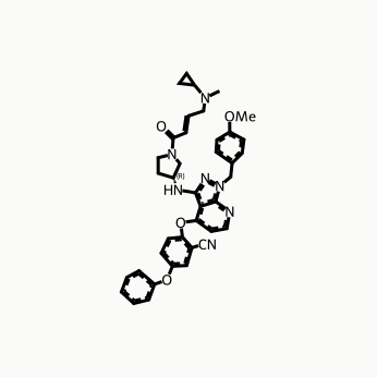 COc1ccc(Cn2nc(N[C@@H]3CCN(C(=O)C=CCN(C)C4CC4)C3)c3c(Oc4ccc(Oc5ccccc5)cc4C#N)ccnc32)cc1